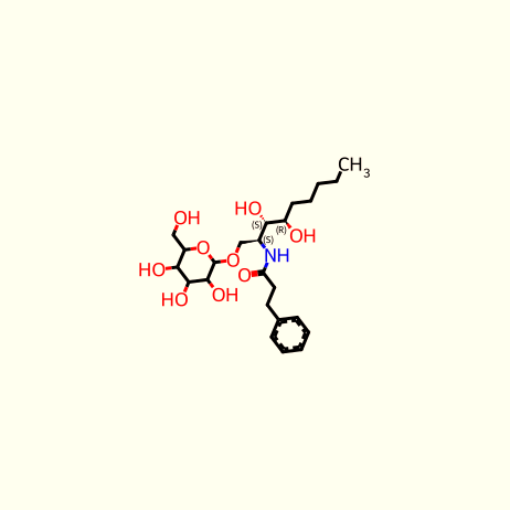 CCCCC[C@@H](O)[C@@H](O)[C@H](COC1OC(CO)C(O)C(O)C1O)NC(=O)CCc1ccccc1